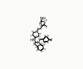 Cc1sc(N)nc1CCN1CCC(Nc2nc3ccccc3n2Cc2ccc(F)cc2)CC1